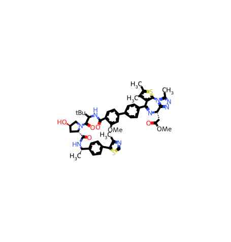 COC(=O)C[C@@H]1N=C(c2ccc(-c3ccc(C(=O)NC(C(=O)N4C[C@H](O)C[C@H]4C(=O)N[C@@H](C)c4ccc(-c5scnc5C)cc4)C(C)(C)C)c(OC)c3)cc2)c2c(sc(C)c2C)-n2c(C)nnc21